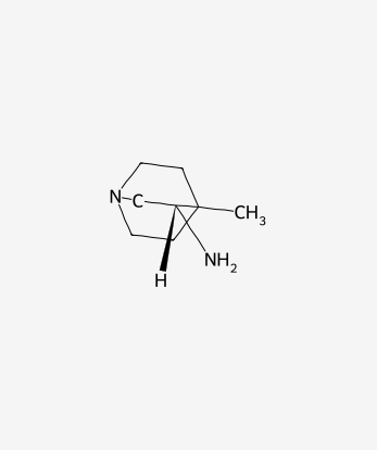 CC12CCN(CC1)C[C@H]2N